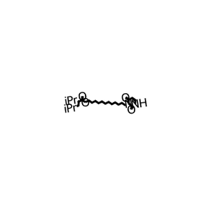 CC(C)CC(C(=O)OCCCCCCCCCCCCn1c(=O)cc[nH]c1=O)C(C)C